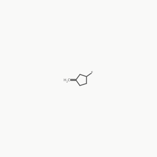 C=C1CCC(F)C1